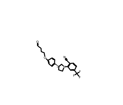 N#Cc1ccc(C(F)(F)F)cc1N1CC[C@@H](c2ccc(OCCCC=O)cc2)C1